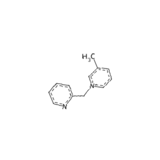 Cc1ccc[n+](Cc2ccccn2)c1